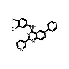 Fc1ccc(Nc2nc(-c3cccnc3)nc3ccc(-c4ccncc4)cc23)cc1Cl